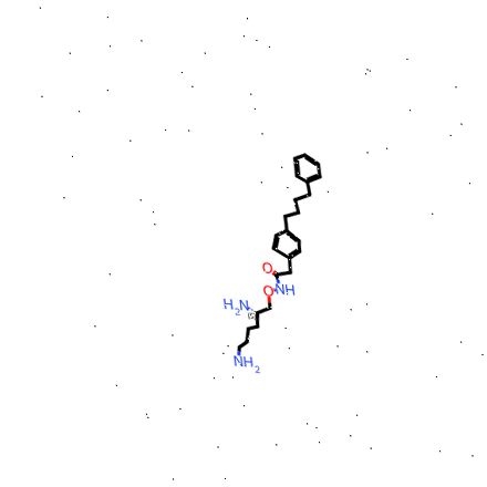 NCCCC[C@H](N)CONC(=O)Cc1ccc(CCCCc2ccccc2)cc1